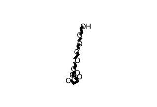 O=C(OCCOCCOCCOCCOCCO)ON1C(=O)CCC1=O